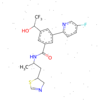 CC(CC1CN=CS1)NC(=O)c1cc(-c2ccc(F)cn2)cc(C(O)C(F)(F)F)c1